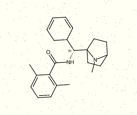 Cc1cccc(C)c1C(=O)N[C@H](C1C=CC=CC1)C12CCC(CC1)N2C